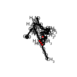 CC[C@H](C)[C@@H]([C@@H](CC(=O)N1CCC[C@H]1[C@H](OC)[C@@H](C)C(=O)N[C@H](C)[C@@H](O)c1ccccc1)OC)N(C)C(=O)[C@@H](NC(=O)[C@H](C(C)C)N(C)C(=O)OCc1ccc(NC(=O)[C@H](CCCNC(N)=O)NC(=O)[C@@H](NC(=O)[C@H](CCC(=O)NCCCCCN2C(=O)C=CC2=O)NC(=O)CCC(=O)NCCOCCOCCOCCOCCOCCOCCOCCOC)C(C)C)cc1)C(C)C